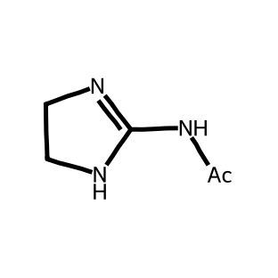 CC(=O)NC1=NCCN1